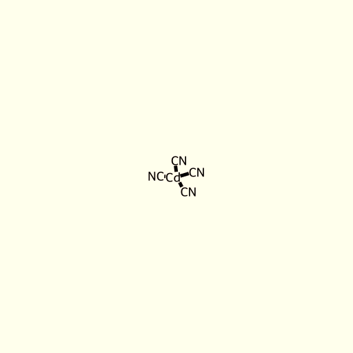 N#[C][Cd]([C]#N)([C]#N)[C]#N